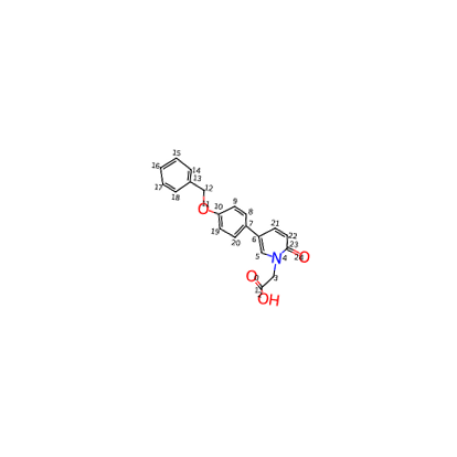 O=C(O)Cn1cc(-c2ccc(OCc3ccccc3)cc2)ccc1=O